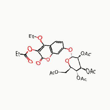 CCOc1c(OC(=O)CC)c(=O)oc2cc(O[C@H]3O[C@H](COC(C)=O)[C@@H](OC(C)=O)[C@H](OC(C)=O)[C@@H]3OC(C)=O)ccc12